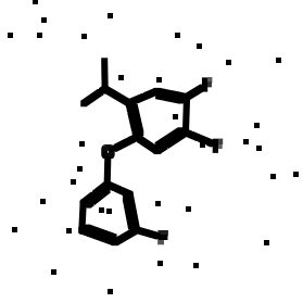 CC(C)c1cc(F)c(F)cc1Oc1cccc(F)c1